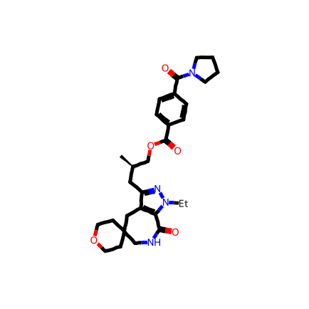 CCn1nc(C[C@@H](C)COC(=O)c2ccc(C(=O)N3CCCC3)cc2)c2c1C(=O)NCC1(CCOCC1)C2